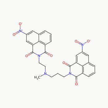 CN(CCCN1C(=O)c2cccc3cc([N+](=O)[O-])cc(c23)C1=O)CCN1C(=O)c2cccc3cc([N+](=O)[O-])cc(c23)C1=O